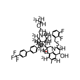 [2H]C1=C(SCc2cccc(F)c2F)N(CC(=O)N(C([2H])([2H])c2ccc(-c3ccc(C(F)(F)F)cc3)cc2)C2([2H])C([2H])([2H])C([2H])([2H])N(CCOC([2H])([2H])[2H])C([2H])([2H])C2([2H])[2H])c2c([2H])c([2H])c(C)c([2H])c2C1O